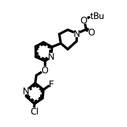 CC(C)(C)OC(=O)N1CCC(c2cccc(OCc3ncc(Cl)cc3F)n2)CC1